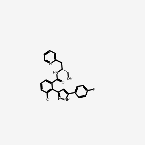 O=C(N[C@@H](CO)Cc1ccccn1)c1cccc(Cl)c1-c1cc(-c2ccc(F)cc2)[nH]n1